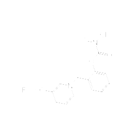 CCOC(=O)C1=CN(Cc2ccccc2OC(=O)N(C)C)C=CC1